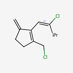 C=C1CCC(CCl)=C1/C=C(/Cl)C(C)C